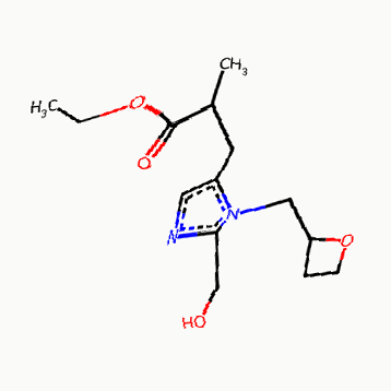 CCOC(=O)C(C)Cc1cnc(CO)n1CC1CCO1